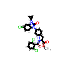 COC(=O)C(Cc1ccc(-n2c(=O)n(C3CC3)c3cc(Cl)ccc32)cc1)NC(=O)c1c(Cl)cccc1Cl